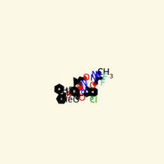 COC(=O)[C@@]1(C)C[C@@H](O[Si](c2ccccc2)(c2ccccc2)C(C)(C)C)CC[C@H]1C(=O)N1CCc2c(Cl)ccc(OCc3nnn(C)c3C(F)F)c2[C@H]1CN1CC2(CC2)CC1=O